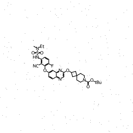 CCN(C)S(=O)(=O)Nc1ccc(F)c(Oc2ccc3ncc(OC4CC5(CCN(C(=O)OC(C)(C)C)CC5)C4)nc3c2)c1C#N